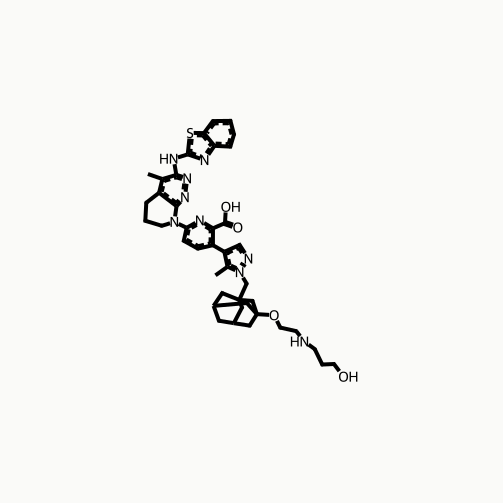 Cc1c(Nc2nc3ccccc3s2)nnc2c1CCCN2c1ccc(-c2cnn(CC34CC5CC(C3)CC(OCCNCCCO)(C5)C4)c2C)c(C(=O)O)n1